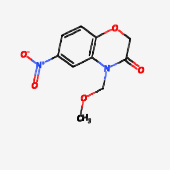 COCN1C(=O)COc2ccc([N+](=O)[O-])cc21